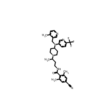 Cc1ccncc1CN(c1ccc(C(F)(F)F)nc1)C1CCN(C(C)CCNC(=O)c2c(C)cc(C#N)cc2C)CC1